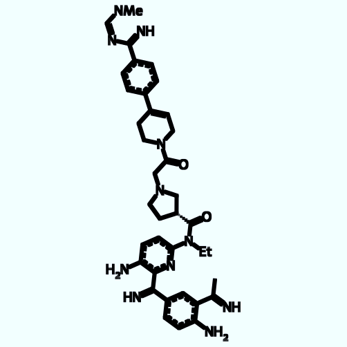 CCN(C(=O)[C@@H]1CCN(CC(=O)N2CC=C(c3ccc(C(=N)/N=C\NC)cc3)CC2)C1)c1ccc(N)c(C(=N)c2ccc(N)c(C(C)=N)c2)n1